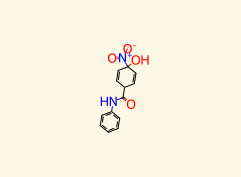 O=C(Nc1ccccc1)C1C=CC(O)([N+](=O)[O-])C=C1